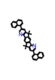 CC1(C)c2cc3c(cc2-c2ncc(-c4cccc5ccccc45)cc21)C(C)(C)c1cc(-c2cccc4ccccc24)cnc1-3